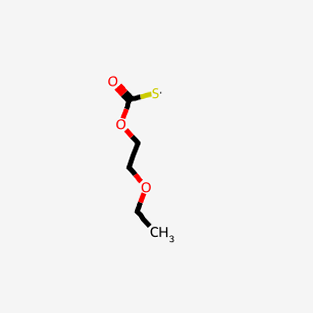 CCOCCOC(=O)[S]